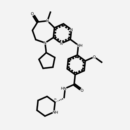 COc1cc(C(=O)NC[C@H]2CCCCN2)ccc1Nc1ncc2c(n1)N(C1CCCC1)CCC(=O)N2C